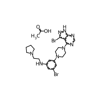 Brc1cc(NCCN2CCCC2)cc(N2CCN(c3ncnc4[nH]nc(Br)c34)CC2)c1.CC(=O)O